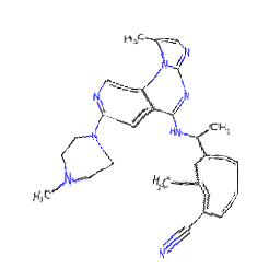 Cc1c(C#N)cccc1C(C)Nc1nc2ncc(C)n2c2cnc(N3CCN(C)CC3)cc12